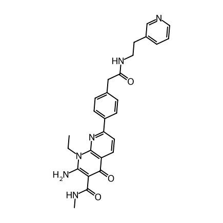 CCn1c(N)c(C(=O)NC)c(=O)c2ccc(-c3ccc(CC(=O)NCCc4cccnc4)cc3)nc21